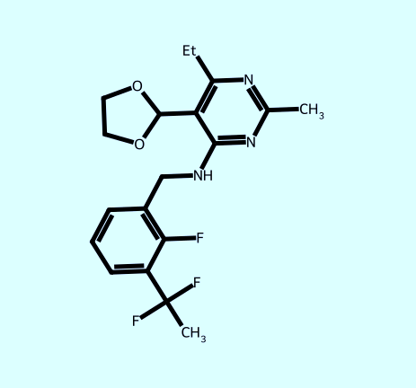 CCc1nc(C)nc(NCc2cccc(C(C)(F)F)c2F)c1C1OCCO1